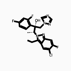 CCc1c2cc(Cl)c(F)cc2nn1[C@H](C)[C@](O)(Cn1cncn1)c1ccc(F)cc1F